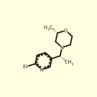 CCc1ccc([C@@H](C)N2CCO[C@@H](C)C2)cn1